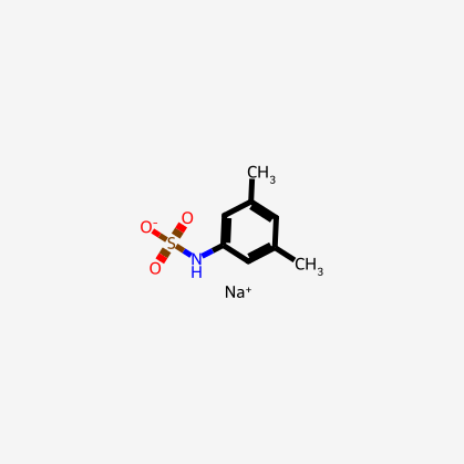 Cc1cc(C)cc(NS(=O)(=O)[O-])c1.[Na+]